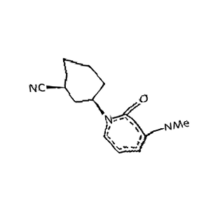 CNc1cccn([C@@H]2CCC[C@H](C#N)C2)c1=O